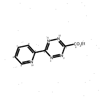 CCOC(=O)c1nnc(-c2ccccn2)nn1